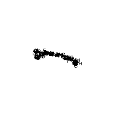 O=C1CCC(Nc2cnc(C3CCN(CC(=O)N4CC5(C4)CN(c4ccc(-c6cc(F)c7c(c6)C(=O)N(C(C(=O)Nc6nccs6)c6ncn8c6CCC8)C7)cc4)C5)CC3)c(F)c2)C(=O)N1